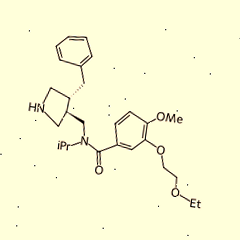 CCOCCOc1cc(C(=O)N(C[C@H]2CNC[C@@H]2Cc2ccccc2)C(C)C)ccc1OC